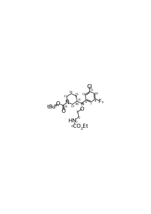 CCOC(=O)NCCO[C@@H](c1cc(F)cc(Cl)c1)[C@@H]1CCCN(C(=O)OC(C)(C)C)C1